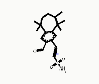 CC1CCC(C)(C)c2cc(C=O)c(/C=C/S(N)(=O)=O)cc2C1(C)C